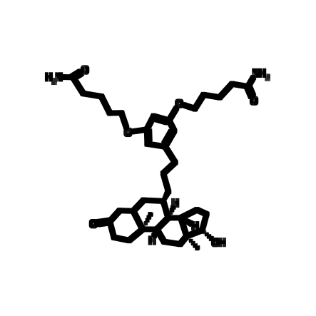 C[C@]12CC[C@H]3[C@@H]([C@H](CCCc4cc(OCCCCC(N)=O)cc(OCCCCC(N)=O)c4)CC4CC(=O)CC[C@@]43C)[C@@H]1CC[C@@H]2O